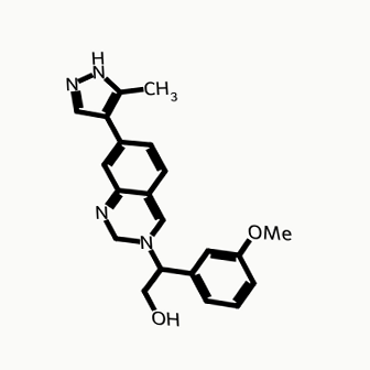 COc1cccc(C(CO)N2C=c3ccc(-c4cn[nH]c4C)cc3=NC2)c1